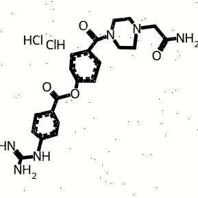 Cl.Cl.N=C(N)Nc1ccc(C(=O)Oc2ccc(C(=O)N3CCN(CC(N)=O)CC3)cc2)cc1